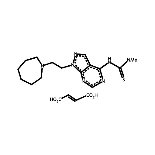 CNC(=S)Nc1ncnc2c1cnn2CCN1CCCCCC1.O=C(O)C=CC(=O)O